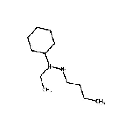 CCCC[N]N(CC)C1CCCCC1